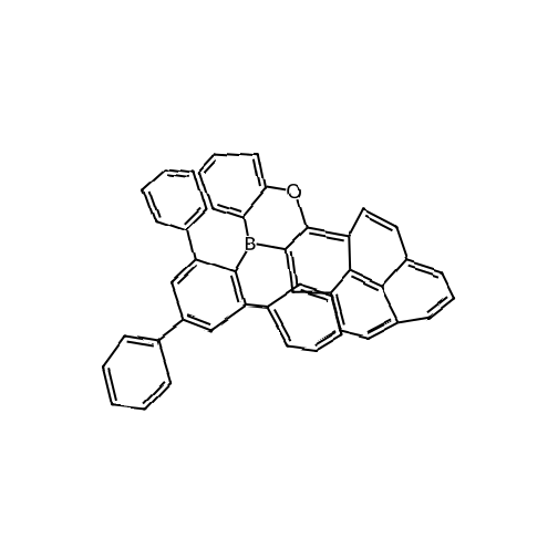 c1ccc(-c2cc(-c3ccccc3)c(B3c4ccccc4Oc4c3cc3ccc5cccc6ccc4c3c56)c(-c3ccccc3)c2)cc1